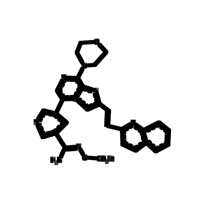 CCOC(=O)ON=C(N)c1cncc(-c2cnc(N3CCOCC3)c3nc(C=Cc4ccc5ccccc5n4)cn23)c1